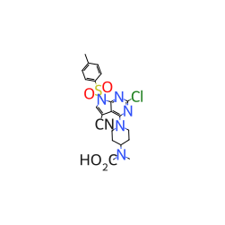 Cc1ccc(S(=O)(=O)n2cc(C#N)c3c(N4CCC(N(C)C(=O)O)CC4)nc(Cl)nc32)cc1